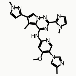 COc1cc(Nc2nc(-c3nccn3C)nn3cc(-c4ccn(C)n4)c(C)c23)ncc1-n1cnc(C)c1